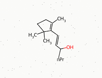 CCCC(O)C=CC1=C(C)CCC1(C)C